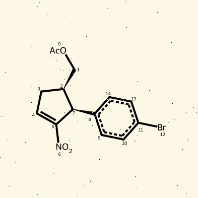 CC(=O)OC[C@@H]1CC=C([N+](=O)[O-])[C@@H]1c1ccc(Br)cc1